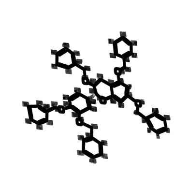 c1ccc(COc2cc(OCc3ccccc3)c3c(c2)O[C@H](c2ccc(OCc4ccccc4)c(OCc4ccccc4)c2)[C@@H](OCc2ccccc2)C3)cc1